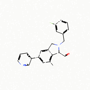 Cc1cc(-c2cccnc2)cc2c1C(C=O)N(Cc1cccc(F)c1)C2